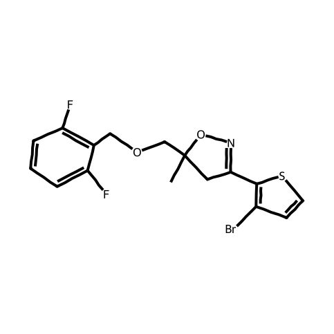 CC1(COCc2c(F)cccc2F)CC(c2sccc2Br)=NO1